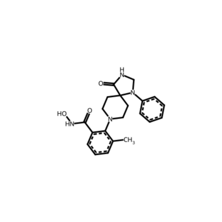 Cc1cccc(C(=O)NO)c1N1CCC2(CC1)C(=O)NCN2c1ccccc1